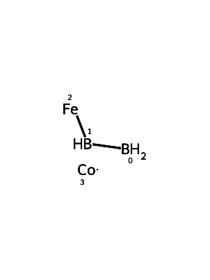 B[BH][Fe].[Co]